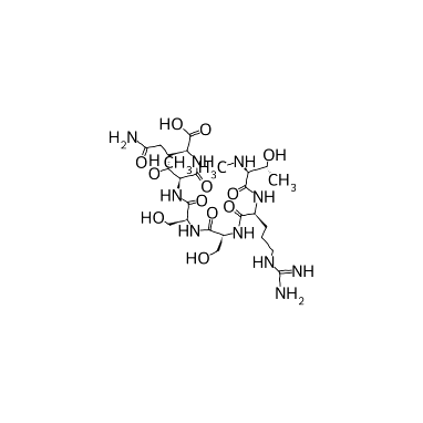 CN[C@H](C(=O)N[C@@H](CCCNC(=N)N)C(=O)N[C@@H](CO)C(=O)N[C@@H](CO)C(=O)N[C@H](C(=O)N[C@@H](CCC(N)=O)C(=O)O)[C@@H](C)O)[C@@H](C)O